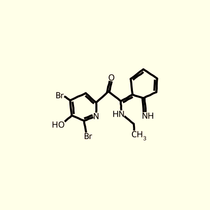 CCN/C(C(=O)c1cc(Br)c(O)c(Br)n1)=C1/C=CC=CC1=N